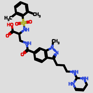 Cc1cccc(C)c1S(=O)(=O)NC(CNC(=O)c1ccc2c(CCCNC3NC=CCN3)nn(C)c2c1)C(=O)O